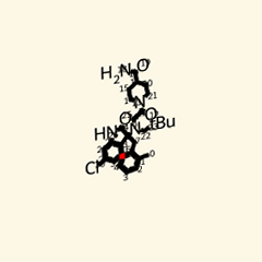 Cc1ccccc1CC1(N(CC(=O)N2CCC(C(N)=O)CC2)CC(C)(C)C)C(=O)Nc2cc(Cl)ccc21